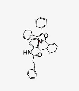 O=C(CCc1ccccc1)Nc1ccccc1CC1CCCC=C1c1nc(-c2ccccc2)c(-c2ccccc2)o1